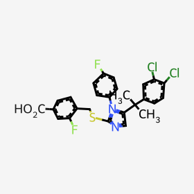 CC(C)(c1ccc(Cl)c(Cl)c1)c1cnc(SCc2ccc(C(=O)O)cc2F)n1-c1ccc(F)cc1